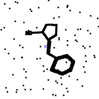 OC1CCC/C1=C\c1ccccc1